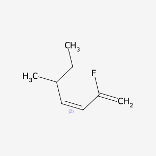 C=C(F)/C=C\C(C)CC